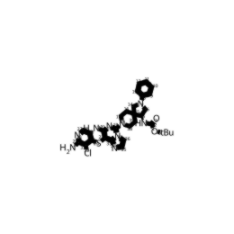 CC(C)(C)OC(=O)N[C@@H]1CN(c2ccccc2)CC12CCN(c1nc(N)c(Sc3ccnc(N)c3Cl)c3nccn13)CC2